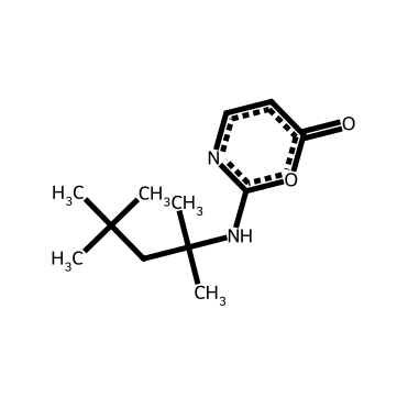 CC(C)(C)CC(C)(C)Nc1nccc(=O)o1